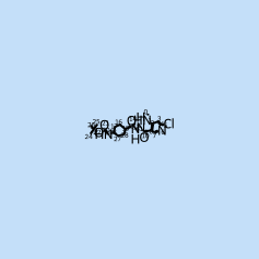 CNc1cc(Cl)ncc1C(=O)NNC(=O)C1CCC(NC(=O)OC(C)(C)C)CC1